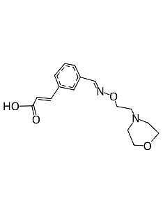 O=C(O)C=Cc1cccc(C=NOCCN2CCOCC2)c1